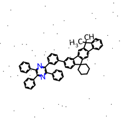 CC1(C)c2ccccc2-c2cc3c(cc21)-c1cc(-c2cccc(-c4nc(-c5ccccc5)c(-c5ccccc5)nc4-c4ccccc4)c2)ccc1C31CCCCC1